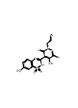 CC(C)CCn1nc(C(C)C)c(O)c(C2=Nc3ccc(O)cc3S(=O)(=O)N2)c1=O